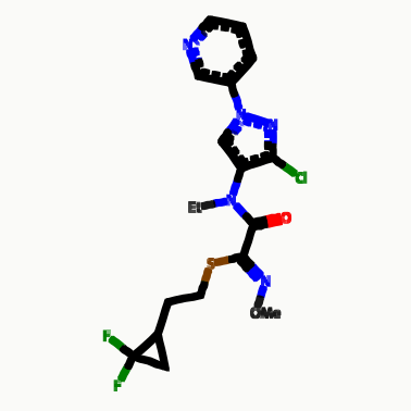 CCN(C(=O)C(=NOC)SCCC1CC1(F)F)c1cn(-c2cccnc2)nc1Cl